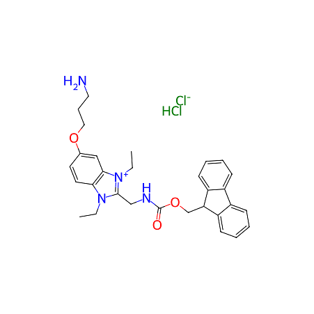 CCn1c(CNC(=O)OCC2c3ccccc3-c3ccccc32)[n+](CC)c2cc(OCCCN)ccc21.Cl.[Cl-]